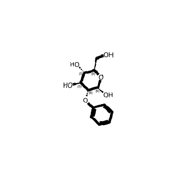 OC[C@H]1O[C@@H](O)[C@H](Oc2ccccc2)[C@@H](O)[C@@H]1O